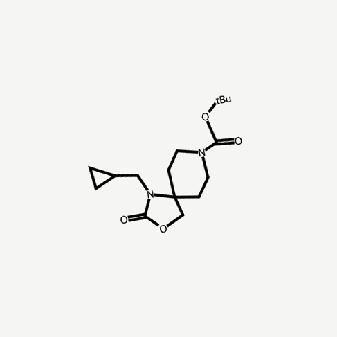 CC(C)(C)OC(=O)N1CCC2(CC1)COC(=O)N2CC1CC1